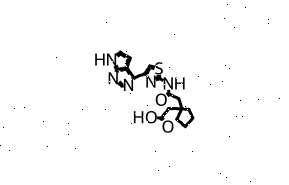 O=C(O)CC1(CC(=O)Nc2nc(-c3ncnc4[nH]ccc34)cs2)CCCC1